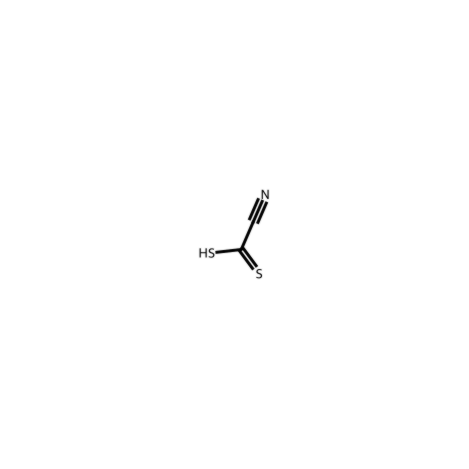 N#CC(=S)S